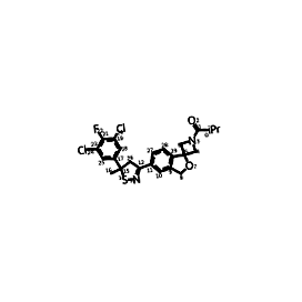 CC(C)C(=O)N1CC2(C1)OCc1cc(C3=NSC(C)(c4cc(Cl)c(F)c(Cl)c4)C3)ccc12